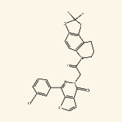 O=C(Cn1nc(-c2cccc(Cl)c2)c2occc2c1=O)N1CCCc2c1ccc1c2OC(F)(F)O1